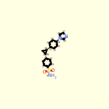 NS(=O)(=O)c1ccc([C@@H]2C[C@H]2c2ccc(-n3ccnc3)cc2)cc1